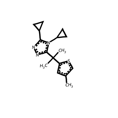 Cc1csc(C(C)(C)c2nnc(C3CC3)n2C2CC2)c1